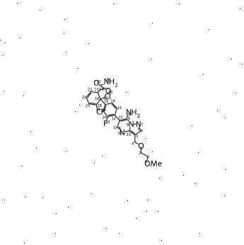 COCCOCc1cnn2c(N)c(-c3ccc(C4(Cl)C(Cl)=CC=CC4S(N)(=O)=O)cc3F)cnc12